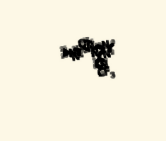 Cc1cnc2c(-c3ccc(C(F)(F)F)nc3)nc(N3CCO[C@@H](c4cnn(C5CC5)c4)C3)cc2n1